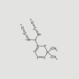 CC1(C)C=CC=C(C(N=C=O)N=C=O)C1